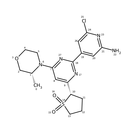 C[C@@H]1COCCN1c1cc([C@@H]2CCCS2(=O)=O)nc(-c2cc(N)nc(Cl)c2)n1